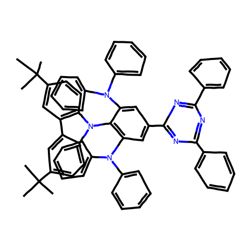 CC(C)(C)c1ccc2c(c1)c1cc(C(C)(C)C)ccc1n2-c1c(N(c2ccccc2)c2ccccc2)cc(-c2nc(-c3ccccc3)nc(-c3ccccc3)n2)cc1N(c1ccccc1)c1ccccc1